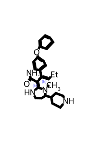 CC/C=C(/C(C(N)=O)=C1/NCCC(C2CCNCC2)N1C)c1ccc(Oc2ccccc2)cc1